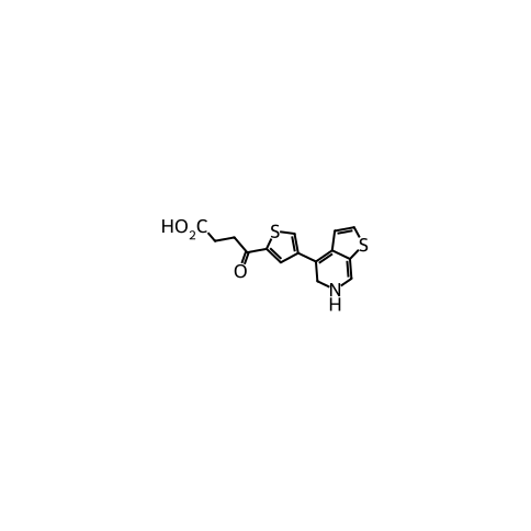 O=C(O)CCC(=O)c1cc(C2=c3ccsc3=CNC2)cs1